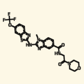 Cn1c(Nc2nc3ccc(OC(F)(F)F)cc3s2)nc2cc(C(=O)NCC(=O)N3CCOCC3)ccc21